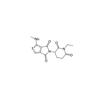 CCN1C(=O)CCC(N2C(=O)c3csc(NC)c3C2=O)C1=O